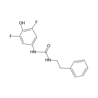 O=C(NCCc1ccccc1)Nc1cc(F)c(O)c(F)c1